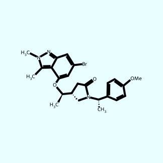 COc1ccc([C@H](C)N2C[C@H]([C@@H](C)Oc3cc(Br)cc4nn(C)c(C)c34)CC2=O)cc1